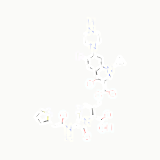 O=C(Cc1cccs1)NC1C(=O)N2C(C(=O)O)=C(COC(=O)c3cn(C4CC4)c4cc(N5CCNCC5)c(F)cc4c3=O)CSC12